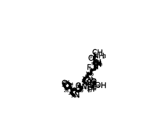 CNC(=O)c1cn(CC(F)CCc2ccc(NC(=O)Cc3cc(C4CCOCC4)ccn3)nn2)nn1.O=C(O)C(F)(F)F